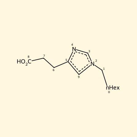 CCCCCCCn1cnc(CCC(=O)O)c1